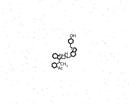 CC(=O)c1ccccc1C(C)c1c(CNCc2ccc3ccn(Cc4ccc(O)cc4)c3c2)[nH]c2ccccc12